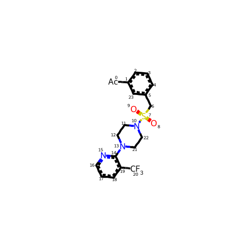 CC(=O)c1cccc(CS(=O)(=O)N2CCN(c3ncccc3C(F)(F)F)CC2)c1